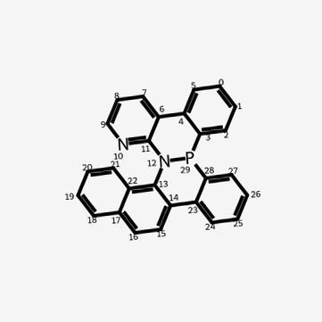 c1ccc2c(c1)-c1cccnc1N1c3c(ccc4ccccc34)-c3ccccc3P21